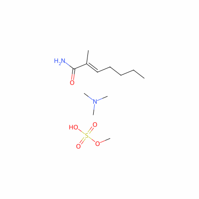 CCCC/C=C(\C)C(N)=O.CN(C)C.COS(=O)(=O)O